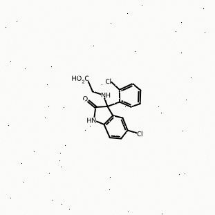 O=C(O)CNC1(c2ccccc2Cl)C(=O)Nc2ccc(Cl)cc21